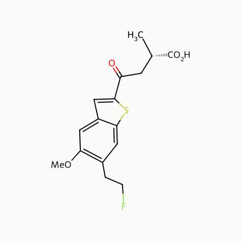 COc1cc2cc(C(=O)C[C@H](C)C(=O)O)sc2cc1CCF